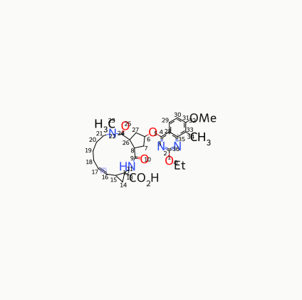 CCOc1nc(OC2CC3C(=O)NC4(C(=O)O)CC4/C=C\CCCCN(C)C(=O)C3C2)c2ccc(OC)c(C)c2n1